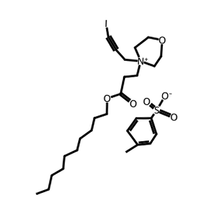 CCCCCCCCCCOC(=O)CC[N+]1(CC#CI)CCOCC1.Cc1ccc(S(=O)(=O)[O-])cc1